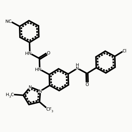 Cc1cc(C(F)(F)F)n(-c2ccc(NC(=O)c3ccc(Cl)cc3)cc2NC(=O)Nc2cccc(C#N)c2)n1